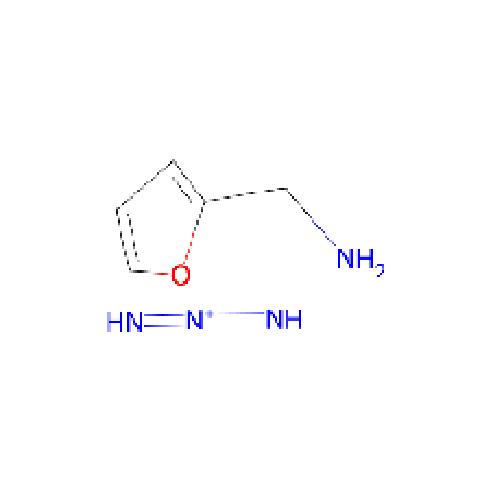 N=[N+]=N.NCc1ccco1